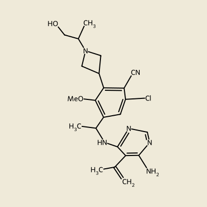 C=C(C)c1c(N)ncnc1NC(C)c1cc(Cl)c(C#N)c(C2CN(C(C)CO)C2)c1OC